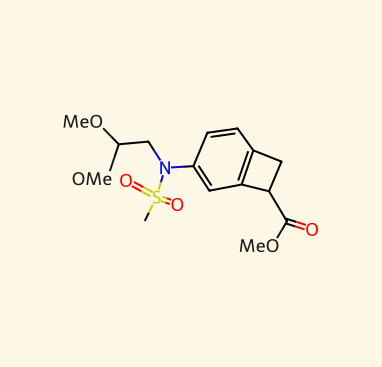 COC(=O)C1Cc2ccc(N(CC(OC)OC)S(C)(=O)=O)cc21